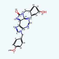 COc1ccc(Cn2cnc3c4nc(=O)n(Cc5ccc(O)cc5)c-4ncnc32)cc1